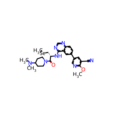 COc1ncc(-c2ccc3ncnc(N[C@@H](C[Se]C)C(=O)N4CCC(N(C)C)CC4)c3c2)cc1C#N